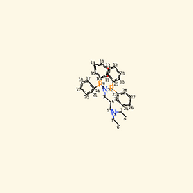 CCN(CC)CCCN(P(c1ccccc1)c1ccccc1)P(c1ccccc1)c1ccccc1